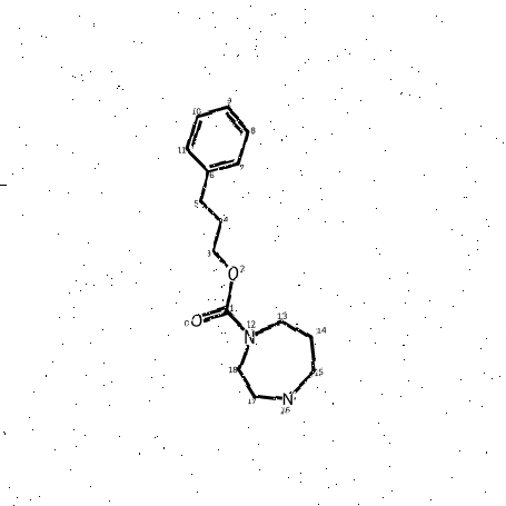 O=C(OCCCc1ccccc1)N1CCC[N]CC1